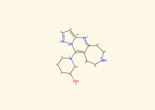 OC1CCCN(c2c3c(nc4ccnn24)CCNCC3)C1